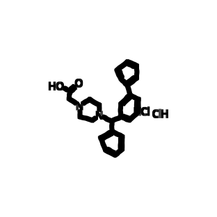 Cl.Cl.O=C(O)CN1CCN(C(c2ccccc2)c2cccc(-c3ccccc3)c2)CC1